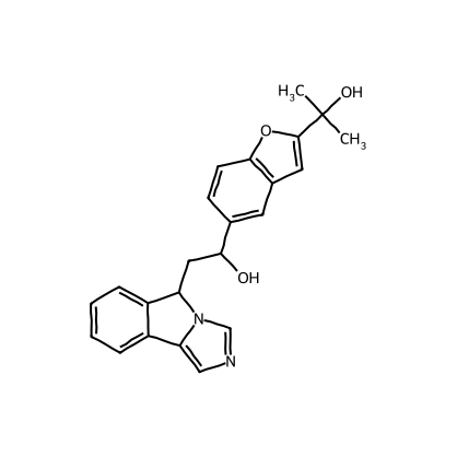 CC(C)(O)c1cc2cc(C(O)CC3c4ccccc4-c4cncn43)ccc2o1